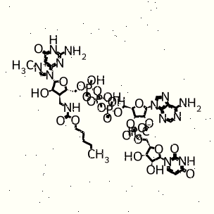 CCCCCOC(=O)NC[C@H]1[C@@H](O)[C@H](n2c[n+](C)c3c(=O)[nH]c(N)nc32)O[C@@H]1COP(=O)(O)OP(=O)(O)OP(=O)(O)OC[C@H]1O[C@@H](n2cnc3c(N)ncnc32)[C@H](OC)[C@@H]1OP(=O)([O-])OC[C@H]1O[C@@H](n2ccc(=O)[nH]c2=O)[C@H](O)[C@@H]1O